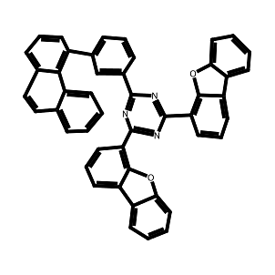 c1cc(-c2nc(-c3cccc4c3oc3ccccc34)nc(-c3cccc4c3oc3ccccc34)n2)cc(-c2cccc3ccc4ccccc4c23)c1